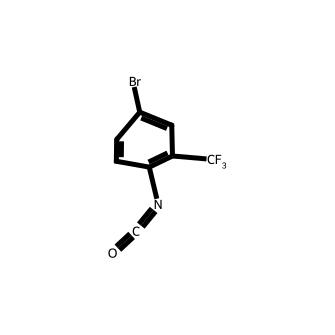 O=C=Nc1ccc(Br)cc1C(F)(F)F